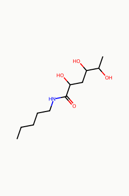 CCCCCNC(=O)C(O)CC(O)C(C)O